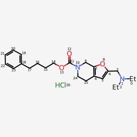 CCN(CC)Cc1cc2c(o1)CN(C(=O)OCCCCc1ccccc1)CC2.Cl